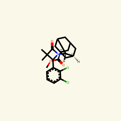 COC(=O)[C@]12CC3CC(C1)[C@@H](N1C(=O)C(C)(C)C1c1cccc(Cl)c1Cl)[C@@H](C3)C2